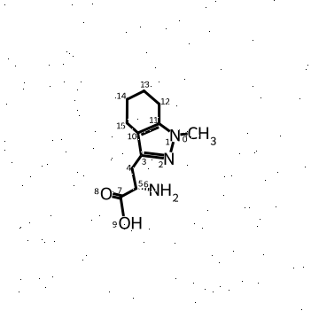 Cn1nc(C[C@H](N)C(=O)O)c2c1CCCC2